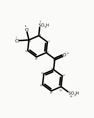 O=C(C1=CC(S(=O)(=O)O)C(Cl)(Cl)C=C1)c1cccc(S(=O)(=O)O)c1